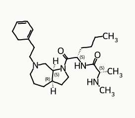 CCCC[C@H](NC(=O)[C@H](C)NC)C(=O)N1CC[C@H]2CCCN(CCC3=CC=CCC3)C[C@H]21